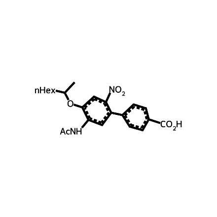 CCCCCCC(C)Oc1cc([N+](=O)[O-])c(-c2ccc(C(=O)O)cc2)cc1NC(C)=O